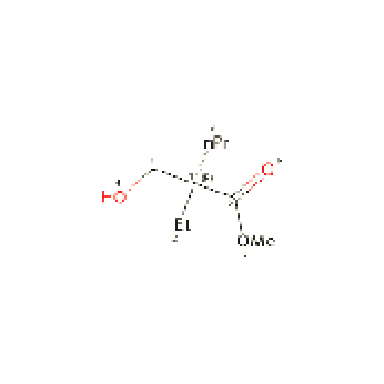 CCC[C@](CC)(CO)C(=O)OC